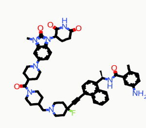 Cc1ccc(N)cc1C(=O)N[C@H](C)c1ccc(C#CC2(F)CCN(CC3CCN(C(=O)C4CCN(c5ccc6c(c5)n(C)c(=O)n6C5CCC(=O)NC5=O)CC4)CC3)CC2)c2ccccc12